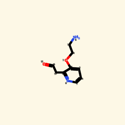 NCCOc1cccnc1CC=O